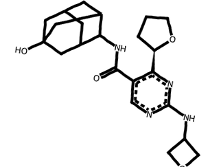 O=C(NC1C2CC3CC1CC(O)(C3)C2)c1cnc(NC2COC2)nc1[C@H]1CCCO1